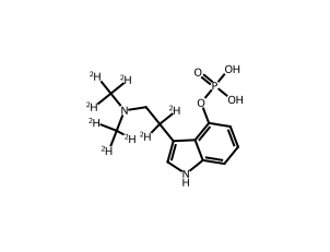 [2H]C([2H])(CN(C([2H])([2H])[2H])C([2H])([2H])[2H])c1c[nH]c2cccc(OP(=O)(O)O)c12